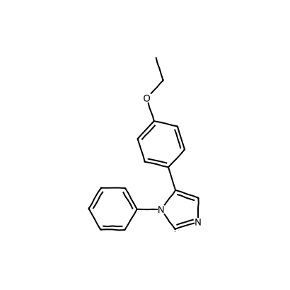 CCOc1ccc(-c2cn[c]n2-c2ccccc2)cc1